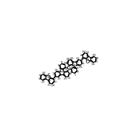 c1ccc([Si](c2ccccc2)(c2cccc3c2oc2ccc(-c4cccc5c4sc4ccccc45)cc23)c2cccc3c2sc2ccc(-c4cccc5c4oc4ccccc45)cc23)cc1